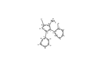 Cc1cccnc1-c1c(-c2ccccc2)sc(C)c1N